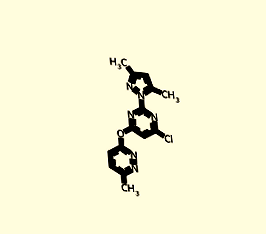 Cc1ccc(Oc2cc(Cl)nc(-n3nc(C)cc3C)n2)nn1